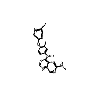 Cc1ccc(Oc2ccc(Nc3ncnc4cnc(N(C)C)cc34)cc2C)cn1